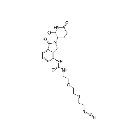 [N-]=[N+]=NCCOCCOCCNC(=O)Nc1cccc2c1CN(C1CCC(=O)NC1=O)C2=O